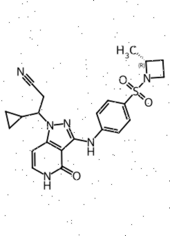 C[C@@H]1CCN1S(=O)(=O)c1ccc(Nc2nn(C(CC#N)C3CC3)c3cc[nH]c(=O)c23)cc1